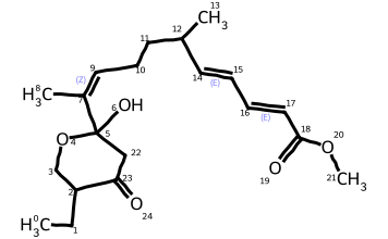 CCC1COC(O)(/C(C)=C\CCC(C)/C=C/C=C/C(=O)OC)CC1=O